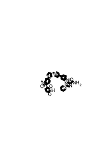 Cn1c(=O)n(C2CCC(=O)NC2=O)c2ccc(N3CC[C@H](CN4CCC(c5ccc(Nc6nc(N7CCCCC7)cnc6C(N)=O)cc5)CC4)C3)cc21